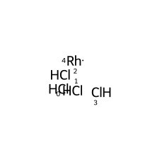 Cl.Cl.Cl.Cl.[Rh]